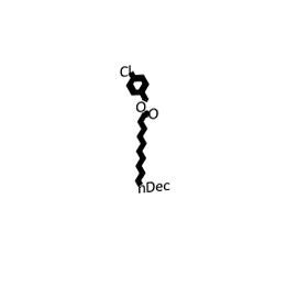 CCCCCCCCCCCCCCCCCCCC(=O)OCc1ccc(Cl)cc1